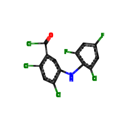 O=C(Cl)c1cc(Nc2c(F)cc(F)cc2Cl)c(Cl)cc1Cl